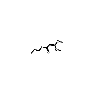 CCCOC(=O)C=C(OC)OC